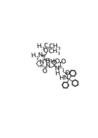 CC(C)(C)OC[C@H](N)C(=O)N1CCC[C@H]1C(=O)NCC(=O)N[C@@H](CCC(=O)NC(c1ccccc1)(c1ccccc1)c1ccccc1)C(=O)O